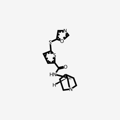 O=C(N[C@H]1CN2CCC1CC2)c1ccc(Sc2cnco2)s1